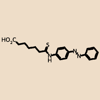 O=C(O)CCCCCC(=S)Nc1ccc(N=Nc2ccccc2)cc1